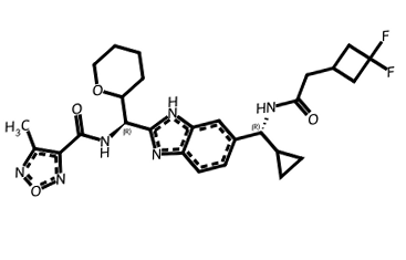 Cc1nonc1C(=O)N[C@H](c1nc2ccc([C@H](NC(=O)CC3CC(F)(F)C3)C3CC3)cc2[nH]1)C1CCCCO1